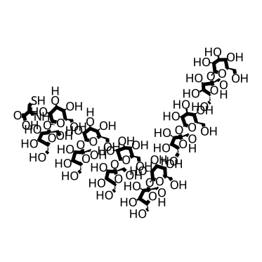 NC(CS)C(=O)O.OC[C@H]1O[C@@](CO)(O[C@H]2O[C@H](CO)[C@@H](O)[C@H](O)[C@H]2O)[C@@H](O)[C@@H]1O.OC[C@H]1O[C@@](CO)(O[C@H]2O[C@H](CO)[C@@H](O)[C@H](O)[C@H]2O)[C@@H](O)[C@@H]1O.OC[C@H]1O[C@@](CO)(O[C@H]2O[C@H](CO)[C@@H](O)[C@H](O)[C@H]2O)[C@@H](O)[C@@H]1O.OC[C@H]1O[C@@](CO)(O[C@H]2O[C@H](CO)[C@@H](O)[C@H](O)[C@H]2O)[C@@H](O)[C@@H]1O.OC[C@H]1O[C@@](CO)(O[C@H]2O[C@H](CO)[C@@H](O)[C@H](O)[C@H]2O)[C@@H](O)[C@@H]1O.OC[C@H]1O[C@@](CO)(O[C@H]2O[C@H](CO)[C@@H](O)[C@H](O)[C@H]2O)[C@@H](O)[C@@H]1O